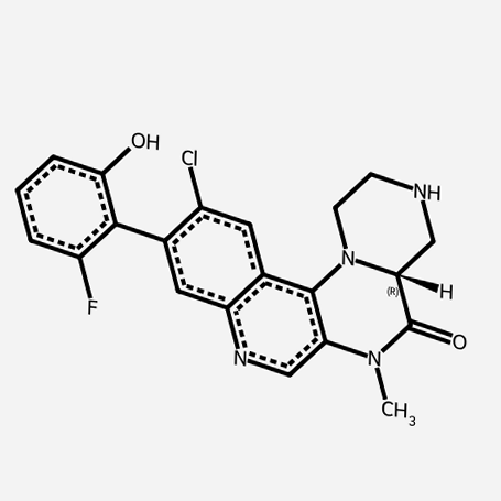 CN1C(=O)[C@H]2CNCCN2c2c1cnc1cc(-c3c(O)cccc3F)c(Cl)cc21